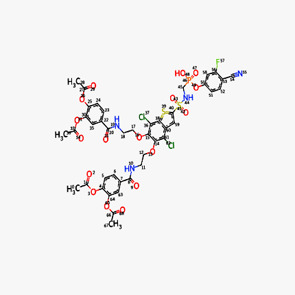 CC(=O)Oc1ccc(C(=O)NCCOc2c(OCCNC(=O)c3ccc(OC(C)=O)c(OC(C)=O)c3)c(Cl)c3sc(S(=O)(=O)NCP(=O)(O)Oc4ccc(C#N)c(F)c4)cc3c2Cl)cc1OC(C)=O